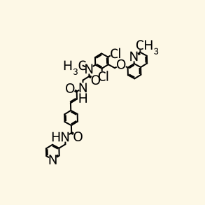 Cc1ccc2cccc(OCc3c(Cl)ccc(N(C)C(=O)CNC(=O)/C=C/c4ccc(C(=O)NCc5cccnc5)cc4)c3Cl)c2n1